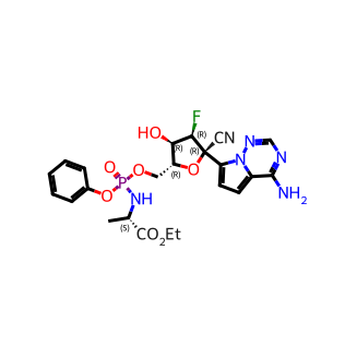 CCOC(=O)[C@H](C)NP(=O)(OC[C@H]1O[C@@](C#N)(c2ccc3c(N)ncnn23)[C@H](F)[C@@H]1O)Oc1ccccc1